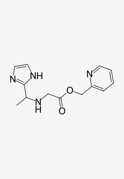 CC(NCC(=O)OCc1ccccn1)c1ncc[nH]1